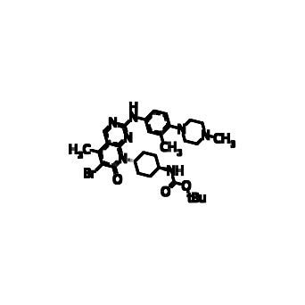 Cc1cc(Nc2ncc3c(C)c(Br)c(=O)n([C@H]4CC[C@H](NC(=O)OC(C)(C)C)CC4)c3n2)ccc1N1CCN(C)CC1